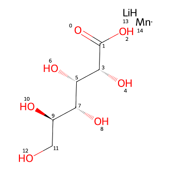 O=C(O)[C@H](O)[C@@H](O)[C@H](O)[C@H](O)CO.[LiH].[Mn]